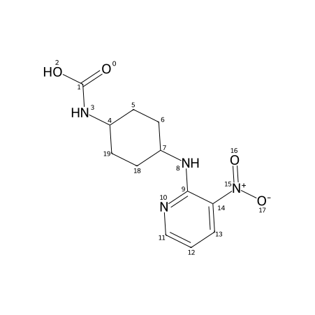 O=C(O)NC1CCC(Nc2ncccc2[N+](=O)[O-])CC1